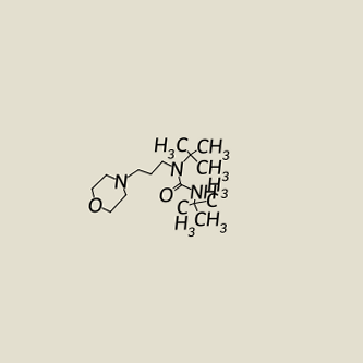 CC(C)(C)NC(=O)N(CCCN1CCOCC1)C(C)(C)C